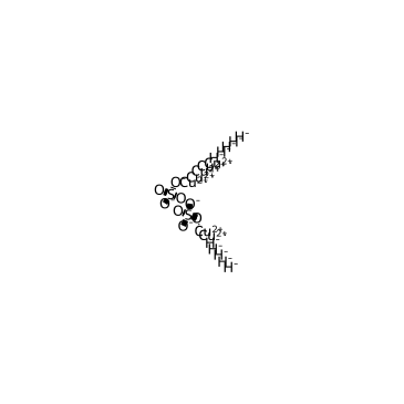 O=S(=O)([O-])[O-].O=S(=O)([O-])[O-].[Cu+2].[Cu+2].[Cu+2].[Cu+2].[Cu+2].[Cu+2].[Cu+2].[H-].[H-].[H-].[H-].[H-].[H-].[H-].[H-].[H-].[H-]